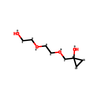 OCCOCCOCC1(O)CC1